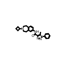 Cc1c(C(=O)Nc2ccc3c(c2)CCN(C2CCC2)CC3)nnn1-c1ccccc1